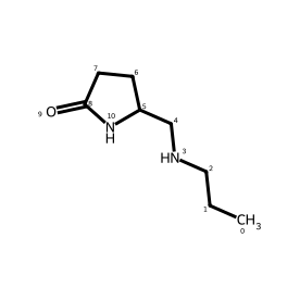 CCCNCC1CCC(=O)N1